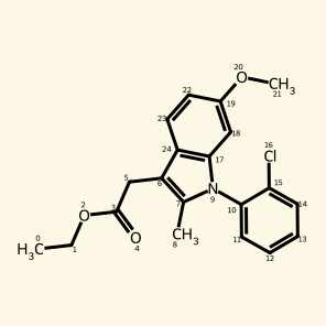 CCOC(=O)Cc1c(C)n(-c2ccccc2Cl)c2cc(OC)ccc12